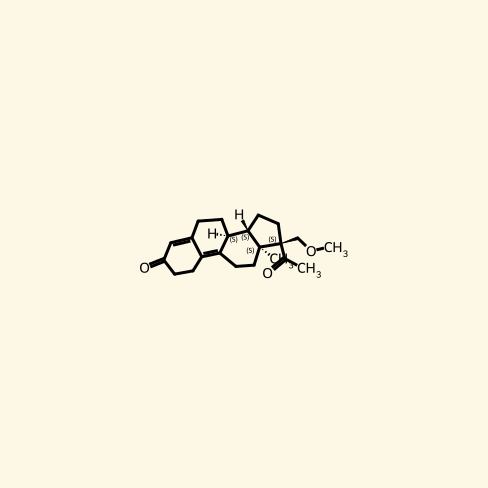 COC[C@]1(C(C)=O)CC[C@H]2[C@@H]3CCC4=CC(=O)CCC4=C3CC[C@@]21C